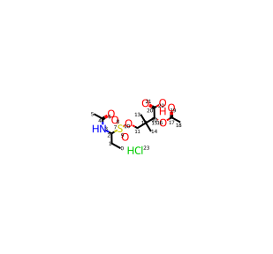 CCC(NC(C)=O)S(=O)(=O)OCC(C)(C)[C@@H](OC(C)=O)C(=O)O.Cl